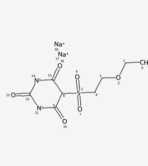 CCOCCS(=O)(=O)C1C(=O)[N-]C(=O)[N-]C1=O.[Na+].[Na+]